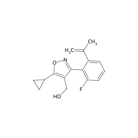 C=C(C)c1cccc(F)c1-c1noc(C2CC2)c1CO